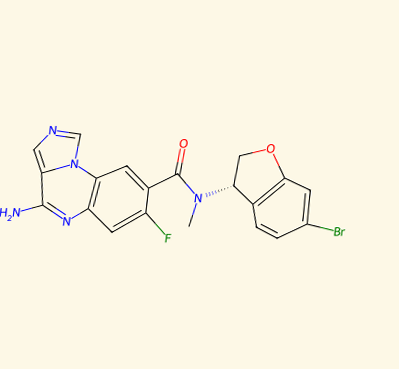 CN(C(=O)c1cc2c(cc1F)nc(N)c1cncn12)[C@@H]1COc2cc(Br)ccc21